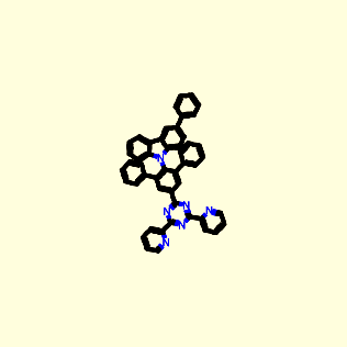 c1ccc(-c2ccc3c(c2)c2ccccc2n3-c2c(-c3ccccc3)cc(-c3nc(-c4ccccn4)nc(-c4ccccn4)n3)cc2-c2ccccc2)cc1